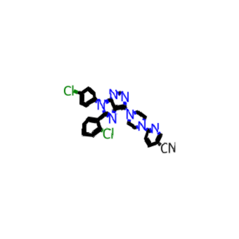 N#Cc1ccc(N2CCN(c3ncnc4c3nc(-c3ccccc3Cl)n4-c3ccc(Cl)cc3)CC2)nc1